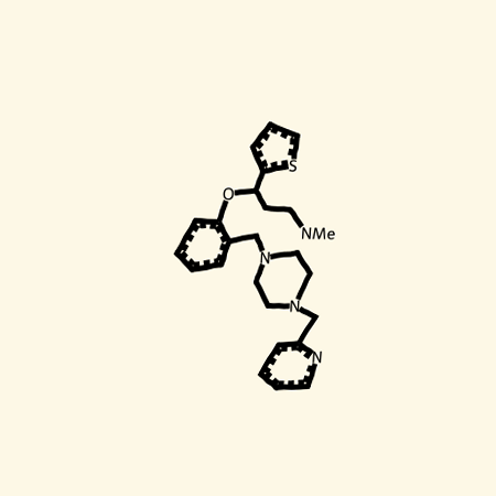 CNCCC(Oc1ccccc1CN1CCN(Cc2ccccn2)CC1)c1cccs1